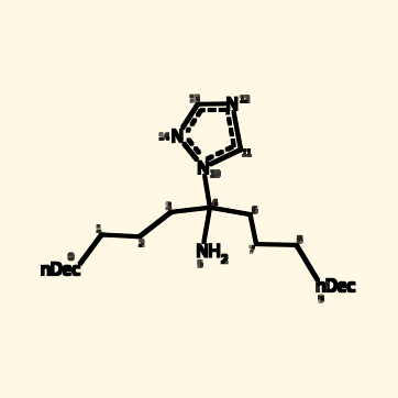 CCCCCCCCCCCCCC(N)(CCCCCCCCCCCCC)n1cncn1